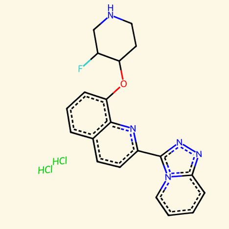 Cl.Cl.FC1CNCCC1Oc1cccc2ccc(-c3nnc4ccccn34)nc12